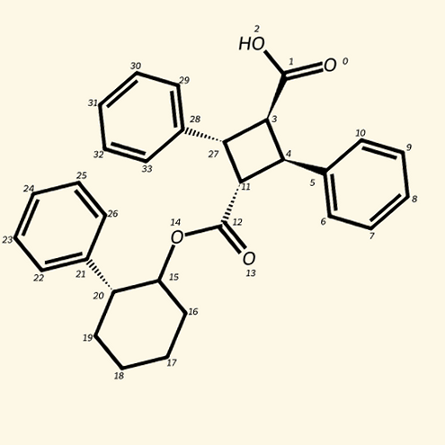 O=C(O)[C@H]1[C@@H](c2ccccc2)[C@H](C(=O)OC2CCCC[C@@H]2c2ccccc2)[C@@H]1c1ccccc1